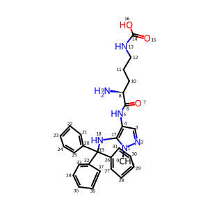 Cn1ncc(NC(=O)[C@@H](N)CCCNC(=O)O)c1NC(c1ccccc1)(c1ccccc1)c1ccccc1